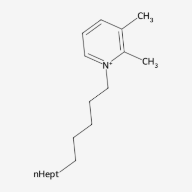 CCCCCCCCCCCC[n+]1cccc(C)c1C